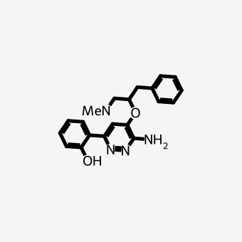 CNCC(Cc1ccccc1)Oc1cc(-c2ccccc2O)nnc1N